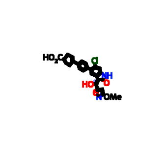 COc1cc(/C(O)=C2\C(=O)Nc3cc(Cl)c(-c4ccc(C5=CCC(C(=O)O)CC5)cc4)cc32)on1